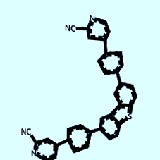 N#Cc1cc(-c2ccc(-c3ccc4sc5ccc(-c6ccc(-c7ccnc(C#N)c7)cc6)cc5c4c3)cc2)ccn1